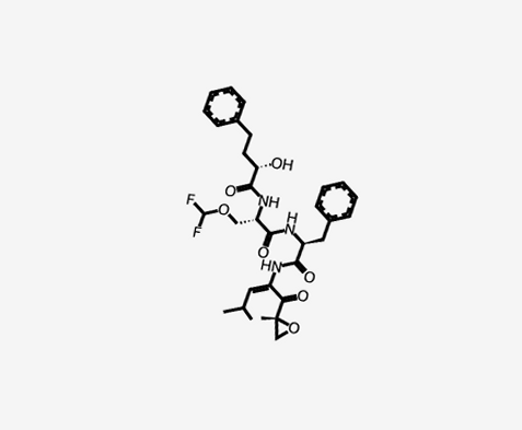 CC(C)/C=C(/NC(=O)[C@H](Cc1ccccc1)NC(=O)[C@H](COC(F)F)NC(=O)[C@@H](O)CCc1ccccc1)C(=O)[C@@]1(C)CO1